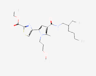 CCCCC(CC)CNC(=O)c1cc(-c2csc(C(=O)OCC)n2)n(CCCOC)c1C